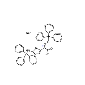 O=C([O-])/C(=N\OC(c1ccccc1)(c1ccccc1)c1ccccc1)c1csc(NC(c2ccccc2)(c2ccccc2)c2ccccc2)n1.[Na+]